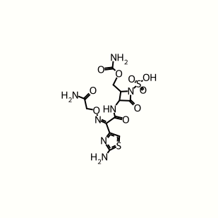 NC(=O)CON=C(C(=O)NC1C(=O)N(S(=O)(=O)O)C1COC(N)=O)c1csc(N)n1